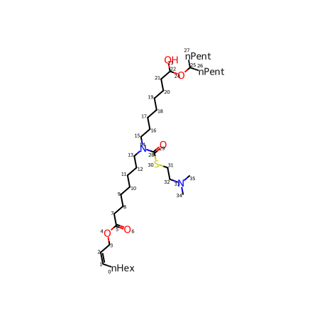 CCCCCC/C=C\COC(=O)CCCCCCCN(CCCCCCCC(O)OC(CCCCC)CCCCC)C(=O)SCCN(C)C